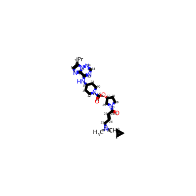 C1CC1.CC(C)c1cnc2c(NC3CCN(C(=O)OC4CCN(C(=O)C=CCN(C)C)C4)CC3)ncnn12